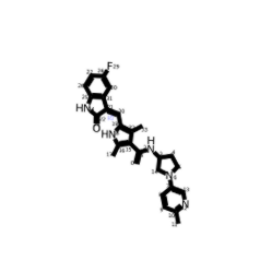 C=C(NC1CCN(c2ccc(C)nc2)C1)c1c(C)[nH]c(/C=C2\C(=O)Nc3ccc(F)cc32)c1C